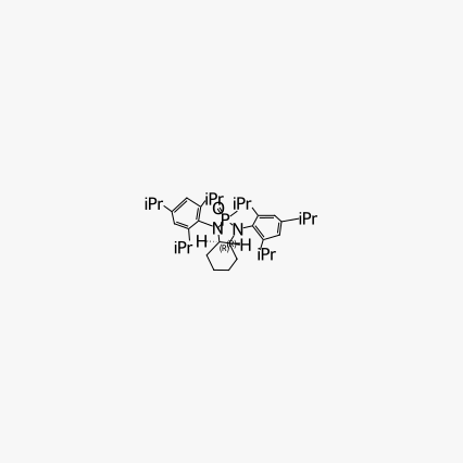 CC(C)c1cc(C(C)C)c(N2[C@@H]3CCCC[C@H]3N(c3c(C(C)C)cc(C(C)C)cc3C(C)C)P2(C)=O)c(C(C)C)c1